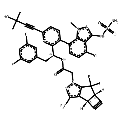 Cn1nc(NS(N)(=O)=O)c2c(Cl)ccc(-c3ccc(C#CC(C)(C)O)nc3[C@H](Cc3cc(F)cc(F)c3)NC(=O)Cn3nc(C(F)(F)F)c4c3C(F)(F)[C@@H]3C#C[C@H]43)c21